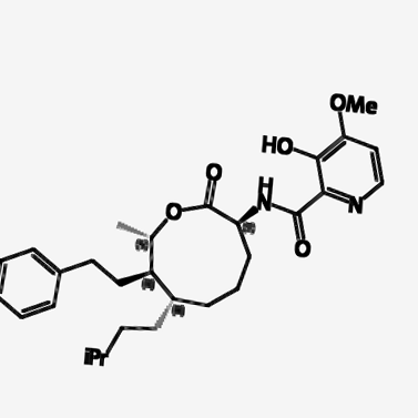 COc1ccnc(C(=O)N[C@H]2CCC[C@H](CCC(C)C)[C@@H](CCc3ccccc3)[C@H](C)OC2=O)c1O